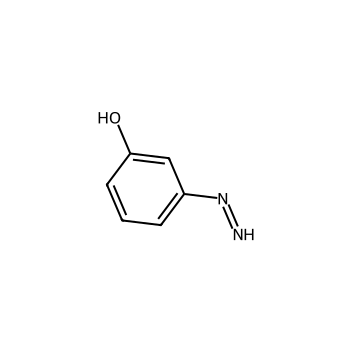 N=Nc1cccc(O)c1